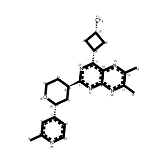 Cc1cc([C@H]2C[C@H](c3nc4nc(C)c(C)nc4c([C@H]4C[C@@H](C(F)(F)F)C4)n3)CCO2)ccn1